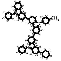 Cc1ccc(-n2c3ccc(-c4ccc5c(c4)c4ccccc4n5-c4ccccc4)cc3c3cc(-c4ccc5c(c4)c4cc(C6CCCCC6)ccc4n5-c4ccccc4)ccc32)cc1